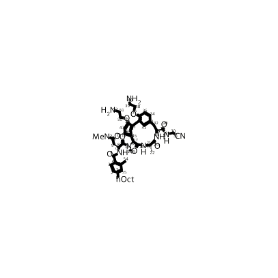 CCCCCCCCc1ccc(C(=O)N[C@@H](CC(=O)NC)C(=O)N(C)[C@@H]2C(=O)N[C@@H](C)C(=O)N[C@H](C(=O)NCC#N)Cc3ccc(OCCN)c(c3)-c3cc2ccc3OCCN)c(C)c1